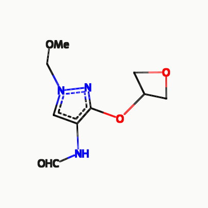 COCn1cc(NC=O)c(OC2COC2)n1